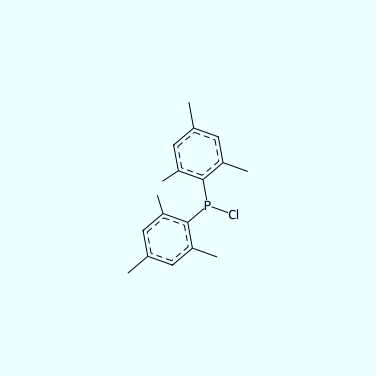 Cc1cc(C)c(P(Cl)c2c(C)cc(C)cc2C)c(C)c1